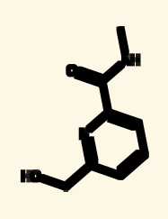 CNC(=O)c1cccc([CH]O)n1